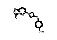 COc1ccc(OC2CN(c3ccc4nnc(C(F)(F)F)n4n3)C2)cc1